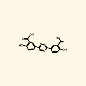 O=C(O)c1cc(-c2nnc(-c3ccc(O)c(C(=O)O)c3)nn2)ccc1O